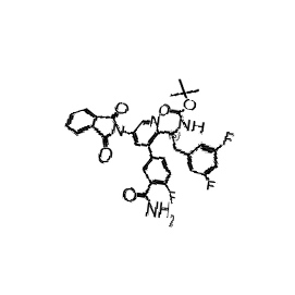 CC(C)(C)OC(=O)N[C@@H](Cc1cc(F)cc(F)c1)c1ncc(N2C(=O)c3ccccc3C2=O)cc1-c1ccc(F)c(C(N)=O)c1